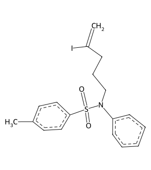 C=C(I)CCCN(c1ccccc1)S(=O)(=O)c1ccc(C)cc1